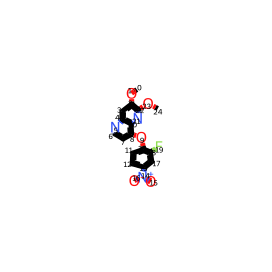 COc1cc2nccc(Oc3ccc([N+](=O)[O-])cc3F)c2nc1OC